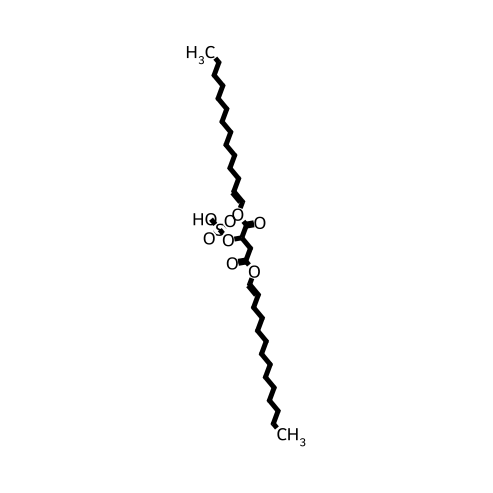 CCCCCCCCCCCCC=COC(=O)CC(OS(=O)(=O)O)C(=O)OC=CCCCCCCCCCCCC